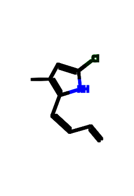 C=C/C=C\c1[nH]c(Cl)cc1C